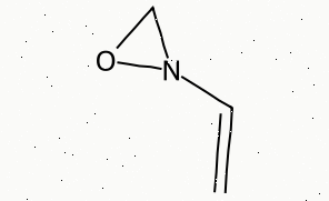 C=CN1CO1